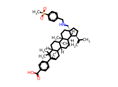 C=C(C)[C@@H]1CC[C@]2(CNCc3ccc(S(C)(=O)=O)cc3)CC[C@]3(C)[C@H](CC[C@@H]4[C@@]5(C)CC=C(c6ccc(C(=O)O)cc6)C(C)(C)[C@@H]5CC[C@]43C)[C@@H]12